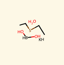 CCSCC.O.OBO.[KH]